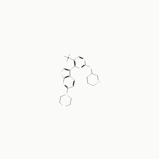 FC(F)(F)c1cnc(NC2CCCNC2)nc1-c1c[nH]c2nc(N3CCOCC3)ccc12